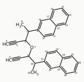 C#CC(OC(C#C)C(C)c1ccc2ccccc2c1)C(C)c1ccc2ccccc2c1